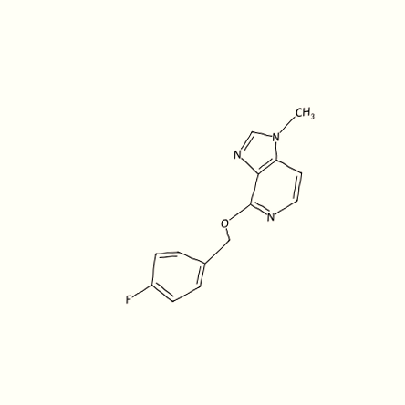 Cn1cnc2c(OCc3ccc(F)cc3)nccc21